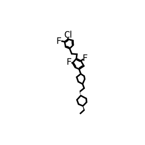 CC[C@H]1CC[C@H](CCC2CCC(c3cc(F)c(CCc4ccc(Cl)c(F)c4)c(F)c3)CC2)CC1